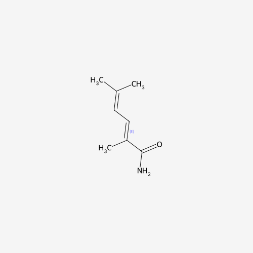 CC(C)=C/C=C(\C)C(N)=O